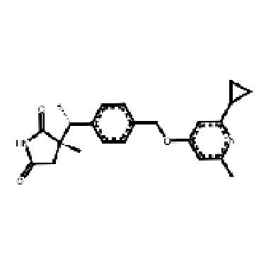 Cc1cc(OCc2ccc([C@@H](C)[C@]3(C)CC(=O)NC3=O)cc2)cc(C2CC2)n1